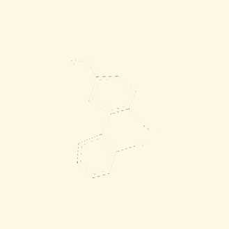 COc1ccc([N+](=O)[O-])c(-c2ccccc2Br)c1